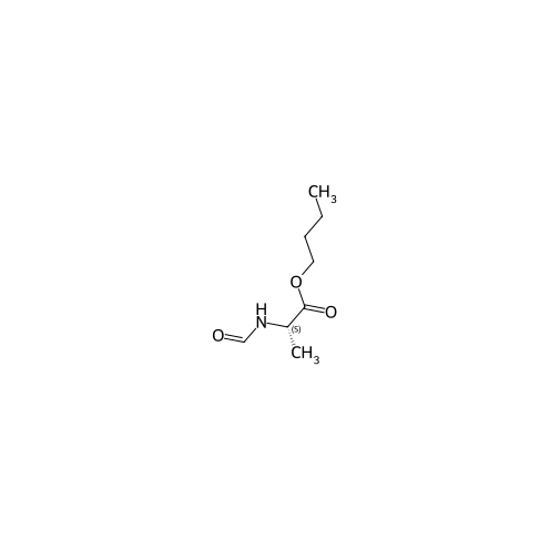 CCCCOC(=O)[C@H](C)NC=O